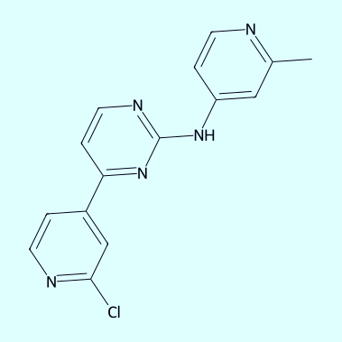 Cc1cc(Nc2nccc(-c3ccnc(Cl)c3)n2)ccn1